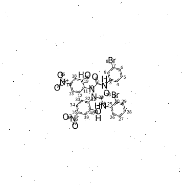 O=C(Nc1cccc(Br)c1)N(c1ccc([N+](=O)[O-])cc1O)N(C(=O)Nc1ccccc1Br)c1ccc([N+](=O)[O-])cc1O